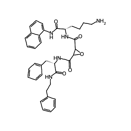 NCCCC[C@H](NC(=O)C1OC1C(=O)N[C@@H](Cc1ccccc1)C(=O)NCCc1ccccc1)C(=O)Nc1cccc2ccccc12